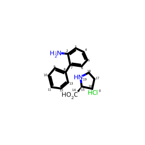 Cl.Nc1ccccc1-c1ccccc1.O=C(O)[C@@H]1CCCN1